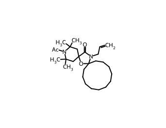 C=CCN1C(=O)C2(CC(C)(C)N(C(C)=O)C(C)(C)C2)OC12CCCCCCCCCCC2